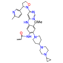 C=CC(=O)Nc1cc(Nc2cc(N3OCCC3c3ccc(C)nc3)ncn2)c(OC)cc1N1CCC(N2CCN(C3CC3)CC2)CC1